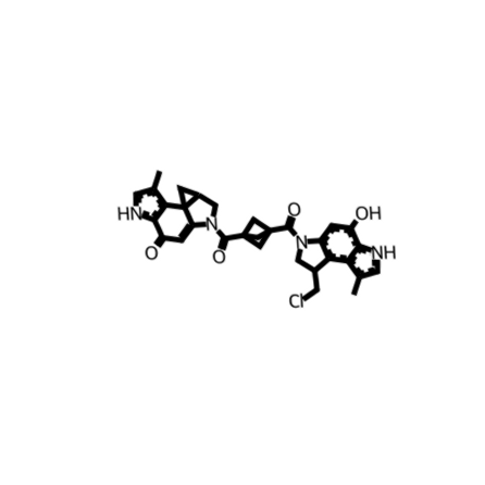 Cc1c[nH]c2c1C13CC1CN(C(=O)C14CC(C(=O)N5CC(CCl)c6c5cc(O)c5[nH]cc(C)c65)(C1)C4)C3=CC2=O